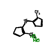 Cl.Cl.FC(F)(F)C1=[C]([Ti][C]2=C(C(F)(F)F)C=CC2)CC=C1